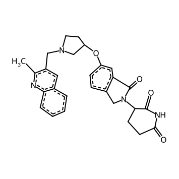 Cc1nc2ccccc2cc1CN1CCC(Oc2ccc3c(c2)C(=O)N(C2CCC(=O)NC2=O)C3)C1